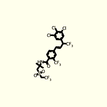 CC(C)(CS(=O)(=O)CC(F)(F)F)NC(=O)c1ccc(C=CC(c2cc(Cl)c(Cl)c(Cl)c2)C(F)(F)F)cc1C(F)(F)F